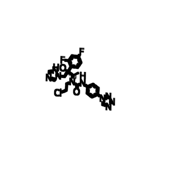 C[C@@H](N(CCCl)C(=O)Nc1ccc(-n2cnnn2)cc1)[C@](O)(Cn1cncn1)c1ccc(F)cc1F